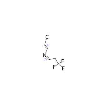 FC(F)(F)C/C=N\C=C\Cl